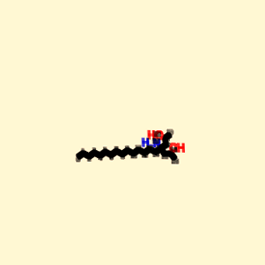 CCCCCCCCCCCCCCCC(N)(CC(C)O)CC(C)O